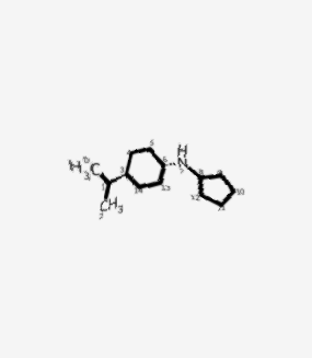 CC(C)[C@H]1CC[C@H](NC2CCCC2)CC1